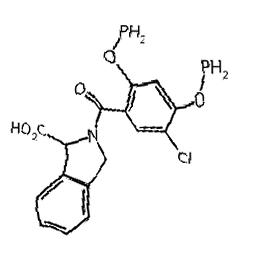 O=C(O)C1c2ccccc2CN1C(=O)c1cc(Cl)c(OP)cc1OP